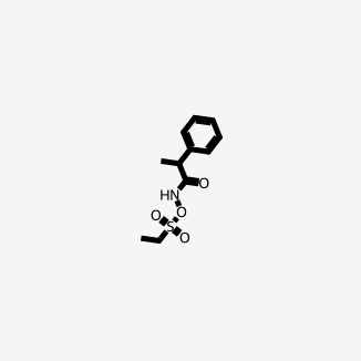 CCS(=O)(=O)ONC(=O)C(C)c1ccccc1